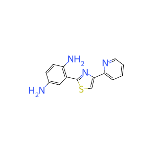 Nc1ccc(N)c(-c2nc(-c3ccccn3)cs2)c1